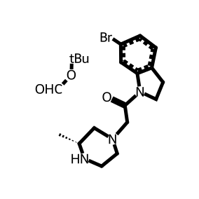 CC(C)(C)OC=O.C[C@@H]1CN(CC(=O)N2CCc3ccc(Br)cc32)CCN1